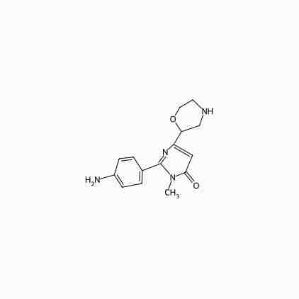 Cn1c(-c2ccc(N)cc2)nc(C2CNCCO2)cc1=O